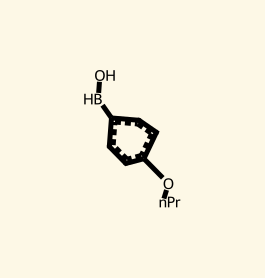 CCCOc1ccc(BO)cc1